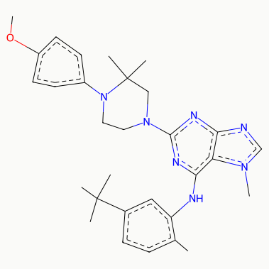 COc1ccc(N2CCN(c3nc(Nc4cc(C(C)(C)C)ccc4C)c4c(ncn4C)n3)CC2(C)C)cc1